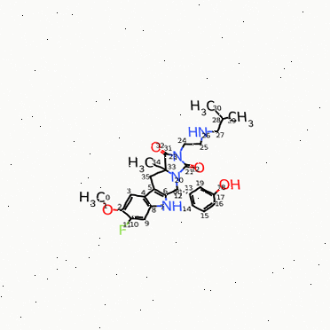 COc1cc2c3c([nH]c2cc1F)[C@@H](c1cccc(O)c1)N1C(=O)N(CCNCC(C)C)C(=O)C1(C)C3